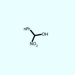 [CH2]CCC(O)[N+](=O)[O-]